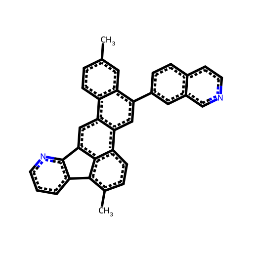 Cc1ccc2c(c1)c(-c1ccc3ccncc3c1)cc1c3ccc(C)c4c3c(cc21)-c1ncccc1-4